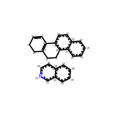 C1=CC2=C(CC1)CCc1c2ccc2ccccc12.c1ccc2cnccc2c1